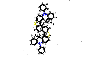 CC1(C)c2ccccc2N(c2ccccc2)c2ccc3sc4ccc5c(ccc6sc7ccc8c(c7c65)C(C)(C)c5ccccc5N8c5ccccc5)c4c3c21